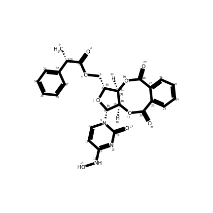 C[C@H](C(=O)OC[C@H]1O[C@@H](n2ccc(NO)nc2=O)[C@@H]2OC(=O)c3ccccc3C(=O)O[C@@H]21)c1ccccc1